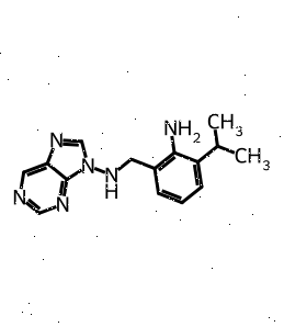 CC(C)c1cccc(CNn2cnc3cncnc32)c1N